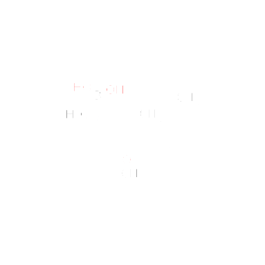 CC#C/C=C\C=C(/COC)C(=CC)/C=C\C=C(/C)B(O)O